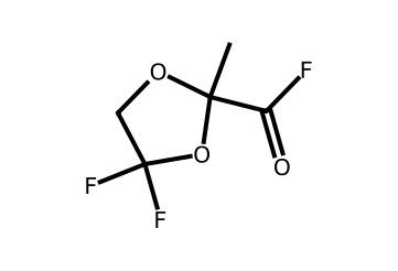 CC1(C(=O)F)OCC(F)(F)O1